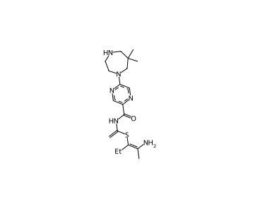 C=C(NC(=O)c1cnc(N2CCNCC(C)(C)C2)cn1)S/C(CC)=C(/C)N